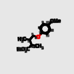 CCOC(=O)C(C)C(C)COc1ccc(OC)cc1